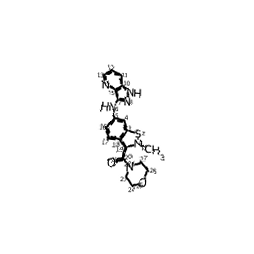 CN1Sc2cc(Nc3n[nH]c4cccnc34)ccc2C1C(=O)N1CCOCC1